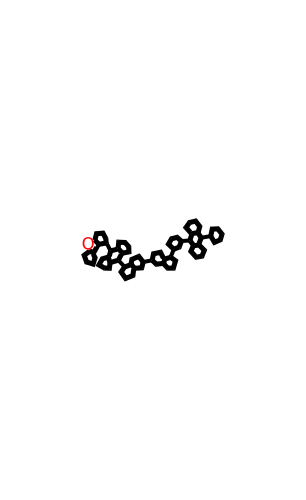 c1ccc(-c2c3ccccc3c(-c3cccc(-c4cccc5cc(-c6ccc7c(-c8c9ccccc9c(-c9cccc%10oc%11ccccc%11c9%10)c9ccccc89)cccc7c6)ccc45)c3)c3ccccc23)cc1